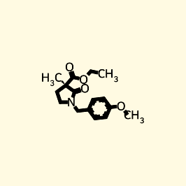 CCOC(=O)[C@]1(C)CCN(Cc2ccc(OC)cc2)C1=O